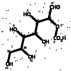 O=CC(OC(=O)O)C(O)C(O)C(O)C(O)CO